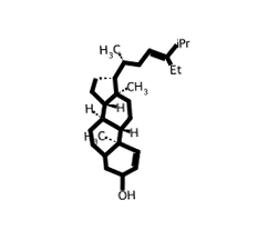 CCC(=CC[C@@H](C)[C@H]1CC[C@H]2[C@@H]3CCC4CC(O)C=C[C@]4(C)[C@H]3CC[C@]12C)C(C)C